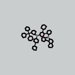 c1ccc(-c2ccc(N(c3cccc(C(c4ccccc4)(c4ccccc4)c4ccccc4)c3)c3ccc(-c4ccccc4-n4c5ccccc5c5c6ccccc6ccc54)c(-c4ccccc4)c3)cc2)cc1